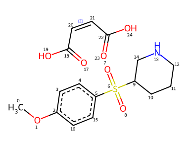 COc1ccc(S(=O)(=O)C2CCCNC2)cc1.O=C(O)/C=C\C(=O)O